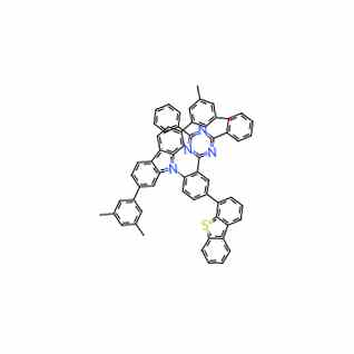 Cc1cc(C)cc(-c2ccc3c4ccc(-c5cc(C)cc(C)c5)cc4n(-c4ccc(-c5cccc6c5sc5ccccc56)cc4-c4nc(-c5ccccc5)nc(-c5ccccc5)n4)c3c2)c1